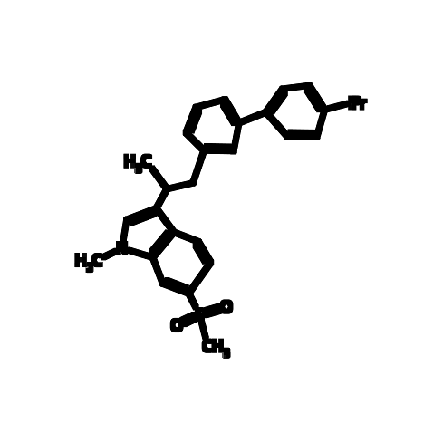 CC(C)c1ccc(-c2cccc(CC(C)c3cn(C)c4cc(S(C)(=O)=O)ccc34)c2)cc1